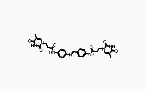 Cc1cn(CCC(=O)Nc2ccc(/C=N/c3ccc(NC(=O)CCn4cc(C)c(=O)[nH]c4=O)cc3)cc2)c(=O)[nH]c1=O